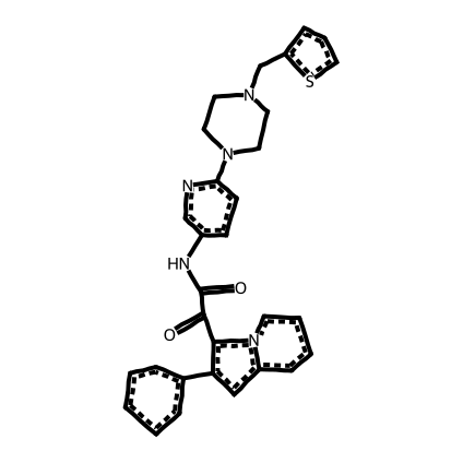 O=C(Nc1ccc(N2CCN(Cc3cccs3)CC2)nc1)C(=O)c1c(-c2ccccc2)cc2ccccn12